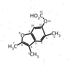 Cc1cc2c(C)c(C)oc2cc1OC(=O)O